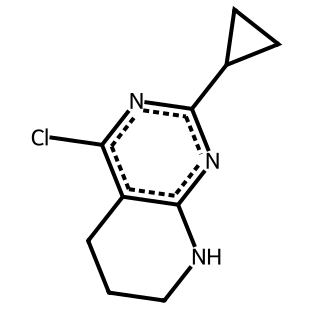 Clc1nc(C2CC2)nc2c1CCCN2